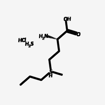 CCC[SH](C)CC[C@H](N)C(=O)O.Cl.S